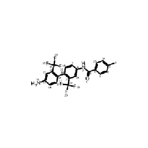 Cc1ccc(C(=O)Nc2ccc(-c3ccc(N)cc3C(F)(F)F)c(C(F)(F)F)c2)cc1